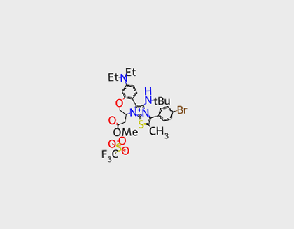 CCN(CC)c1ccc2c(c1)OCC(CC(=O)OC)[n+]1c-2c(NC(C)(C)C)n2c(-c3ccc(Br)cc3)c(C)sc21.O=S(=O)([O-])C(F)(F)F